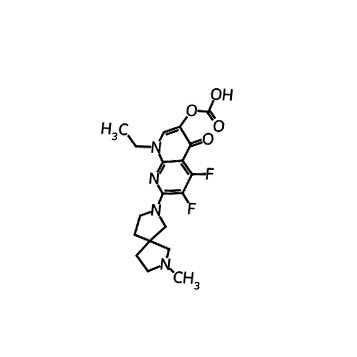 CCn1cc(OC(=O)O)c(=O)c2c(F)c(F)c(N3CCC4(CCN(C)C4)C3)nc21